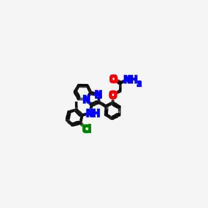 Cc1cccc(Cl)c1Nc1c(-c2ccccc2OCC(N)=O)nc2ccccn12